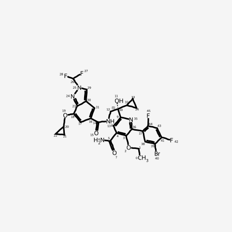 CCOc1c(C(N)=O)cc([C@@](O)(CNC(=O)c2cc(OC3CC3)c3nn(C(F)F)cc3c2)C2CC2)nc1-c1cc(Br)c(F)cc1F